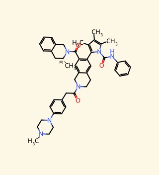 Cc1c(C)c(-c2cc3c(cc2C(=O)N2Cc4ccccc4C[C@H]2C)CN(C(=O)Cc2ccc(N4CCN(C)CC4)cc2)CC3)n(C(=O)Nc2ccccc2)c1C